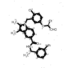 CC[C@@H](C=O)Oc1ccc(Cl)c(Cn2c(C)c(C)c3cc(C(=O)N[C@@H](C)c4cccc(C(C)C)c4)ccc32)c1